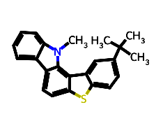 Cn1c2ccccc2c2ccc3sc4ccc(C(C)(C)C)cc4c3c21